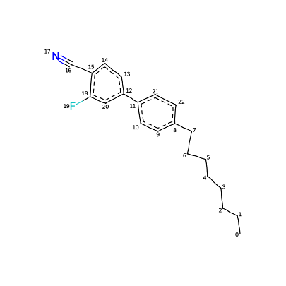 CCCCCCCCc1ccc(-c2ccc(C#N)c(F)c2)cc1